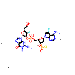 Nc1nc2c(ncn2[C@@H]2O[C@H](CCO)[C@@H](F)[C@H]2OP(=O)(O)OC[C@H]2O[C@@H](n3cc(F)c4c(N)ncnc43)C[C@@H]2O[PH](=O)S)c(=O)[nH]1